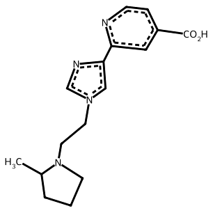 CC1CCCN1CCn1cnc(-c2cc(C(=O)O)ccn2)c1